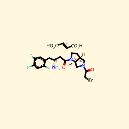 CC(C)CC(=O)N1C[C@@H]2CCN(C(=O)C[C@H](N)Cc3cc(F)c(F)cc3F)[C@@H]2C1.O=C(O)/C=C/C(=O)O